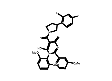 C=C1N=C(c2cc(OC)ccn2)N(c2c(OC)cccc2OC)C(O)=C1C(=O)N1CCC(c2ccc(F)cc2F)C1